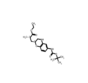 CCOC(=O)[C@@H](C)C[C@H]1CNc2cc(NC(=O)OC(C)(C)C)ccc2O1